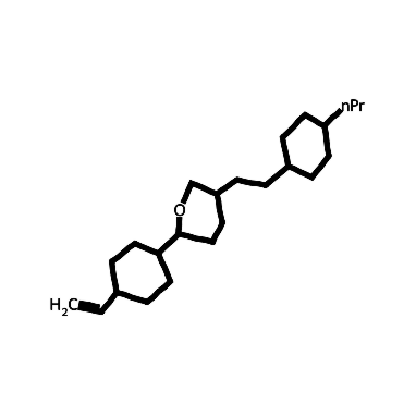 C=CC1CCC(C2CCC(CCC3CCC(CCC)CC3)CO2)CC1